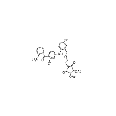 CC(=O)O[C@@H]1C(=O)N(CCOCc2cc(Br)ccc2Nc2ccc(C(=O)c3ccccc3C)c(Cl)c2)C(=O)[C@@H]1OC(C)=O